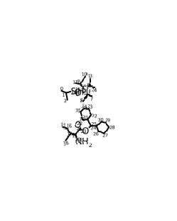 CC(C)[SiH2]O[Si](C(C)C)(C(C)C)C(C)C.CCC(C)C(N)C(=O)OC(C1CCCCC1)C1CCCCC1